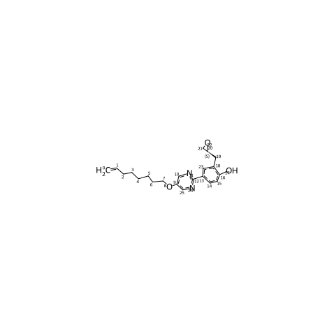 C=CCCCCCCOc1cnc(-c2ccc(O)c(C[C@H]3CO3)c2)nc1